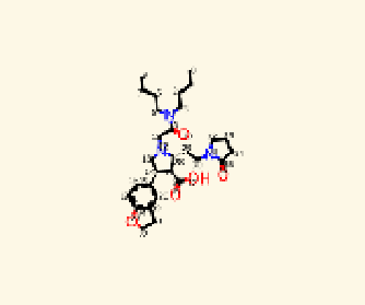 CCCCN(CCCC)C(=O)CN1C[C@H](c2ccc3c(c2)CCO3)[C@H](C(=O)O)[C@H]1CCN1CCCC1=O